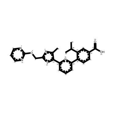 Cc1nc(COc2ncccn2)sc1-c1cccc(-c2ccc(C(=O)O)cc2C(C)C)n1